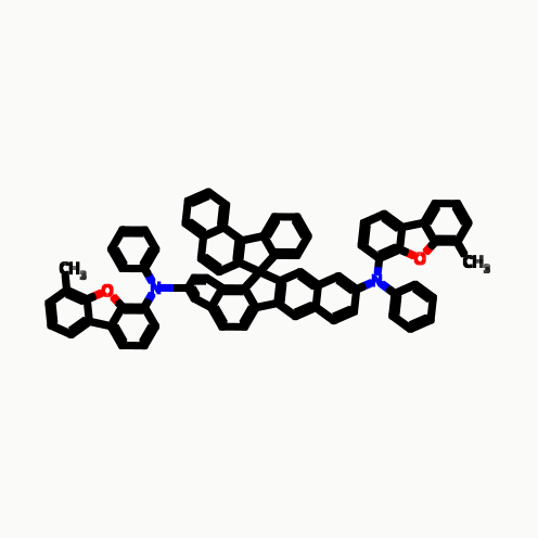 Cc1cccc2c1oc1c(N(c3ccccc3)c3ccc4cc5c(cc4c3)C3(c4ccccc4-c4c3ccc3ccccc43)c3c-5ccc4cc(N(c5ccccc5)c5cccc6c5oc5c(C)cccc56)ccc34)cccc12